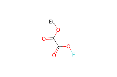 CCOC(=O)C(=O)OF